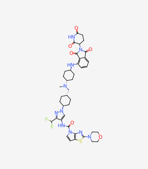 CN(C[C@H]1CC[C@H](n2cc(NC(=O)n3ccc4sc(N5CCOCC5)nc43)c(C(F)F)n2)CC1)[C@H]1CC[C@H](Nc2cccc3c2C(=O)N(C2CCC(=O)NC2=O)C3=O)CC1